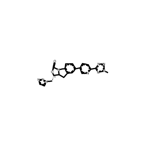 Cn1nnc(-c2ccc(-c3ccc4c(c3)CC3[C@H](Cn5ccnn5)OC(=O)N43)cn2)n1